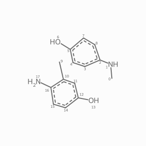 CNc1ccc(O)cc1.Cc1cc(O)ccc1N